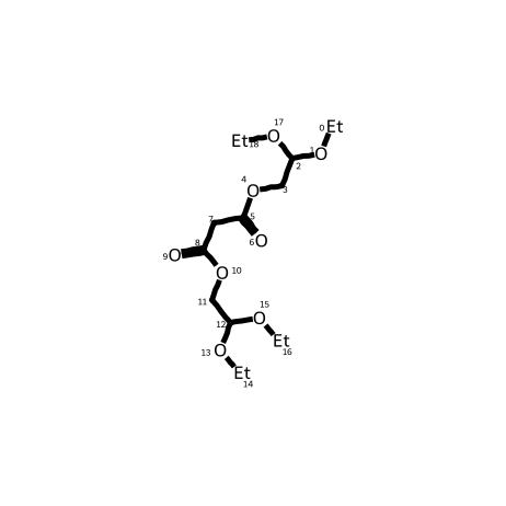 CCOC(COC(=O)CC(=O)OCC(OCC)OCC)OCC